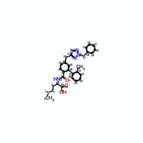 CSCCC(NC(=O)c1ccc(Cc2nnn(Cc3ccccc3)n2)cc1-c1ccccc1C)C(=O)O